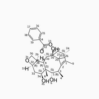 CC1=C2[C@@H](C)[C@H](O)[C@@]3(C)[C@H]([C@H](OC(=O)c4ccccc4)[C@](O)(C[C@@H]1C)C2(C)C)[C@]1(C)CO[C@@H]1C[C@@H]3O